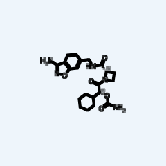 NC(=O)O[C@@H](C(=O)N1CC[C@H]1C(=O)NCc1ccc2c(N)noc2c1)C1CCCCC1